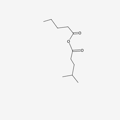 CCCCC(=O)OC(=O)CCC(C)C